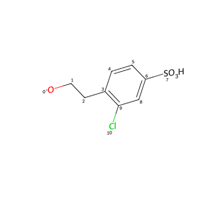 [O]CCc1ccc(S(=O)(=O)O)cc1Cl